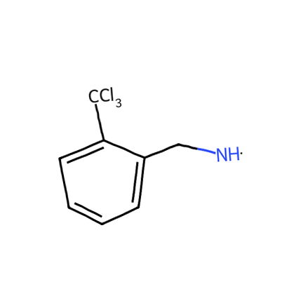 [NH]Cc1ccccc1C(Cl)(Cl)Cl